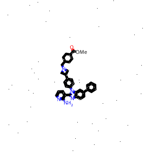 COC(=O)C1CCC(CN2CC(c3ccc(-n4c(-c5cccnc5N)nc5ccc(-c6ccccc6)cc54)cc3)C2)CC1